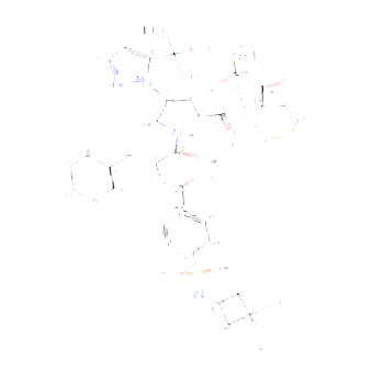 CC(C)(O)c1cnnn1[C@H]1C[C@@H](C(=O)NC2(C(=O)C(N)=O)CCSCC2)N(C(=O)C(CC2CCCCC2)NC(=O)c2ccc(S(=O)(=O)NC3CC(F)(F)C3)cc2)C1